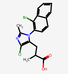 Cc1nc(Cl)c(CC(C)C(=O)O)n1-c1ccc2ccccc2c1Br